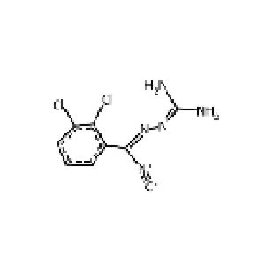 [C-]#[N+]/C(=N\N=C(N)N)c1cccc(Cl)c1Cl